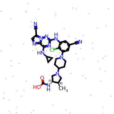 C[C@@H]1CN(C2CCN(c3cc(C#N)cc(Nc4nc(NC5CC5)c5ncc(C#N)n5n4)c3Cl)CC2)C[C@H]1NC(=O)O